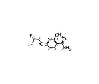 BC(=O)c1ccc(OCC(F)F)nc1C